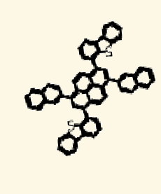 c1ccc2cc(-c3cc(-c4cccc5c4sc4ccccc45)c4ccc5c(-c6ccc7ccccc7c6)cc(-c6cccc7c6sc6ccccc67)c6ccc3c4c56)ccc2c1